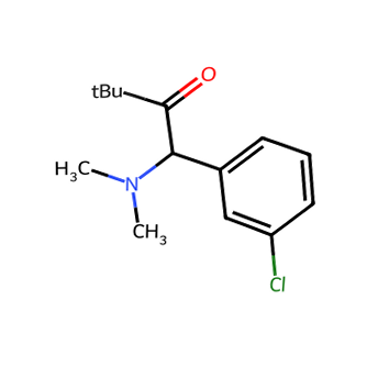 CN(C)C(C(=O)C(C)(C)C)c1cccc(Cl)c1